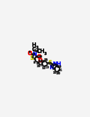 CC(C)N1C(=O)SC(=Cc2cc3ccc(Sc4nc5ccccc5[nH]4)cc3o2)C1=O